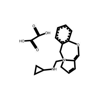 C1=CC2=COc3ccccc3C[N+]2(CNC2CC2)C1.O=C(O)C(=O)O